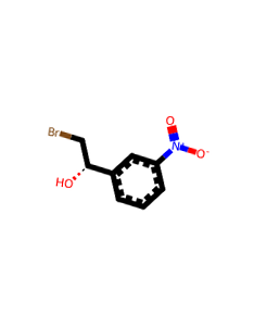 O=[N+]([O-])c1cccc([C@H](O)CBr)c1